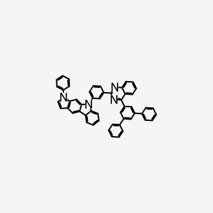 c1ccc(-c2cc(-c3ccccc3)cc(-c3nc(-c4cccc(-n5c6ccccc6c6cc7ccn(-c8ccccc8)c7cc65)c4)nc4ccccc34)c2)cc1